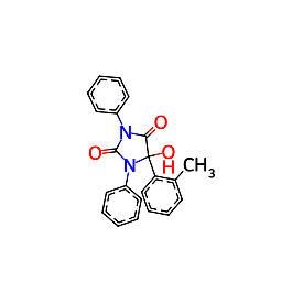 Cc1ccccc1C1(O)C(=O)N(c2ccccc2)C(=O)N1c1ccccc1